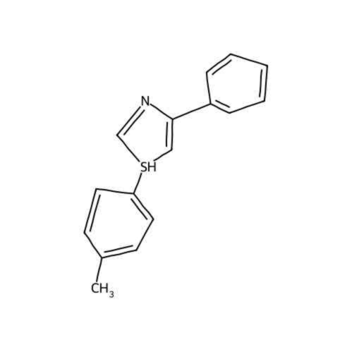 Cc1ccc([SH]2C=NC(c3ccccc3)=C2)cc1